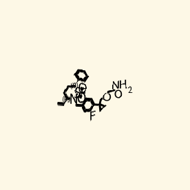 C=C[C@H]1CC[C@H](c2ccccc2)S(=O)(=O)N1Cc1cc(F)c(C2(COCC(N)=O)CC2)cc1F